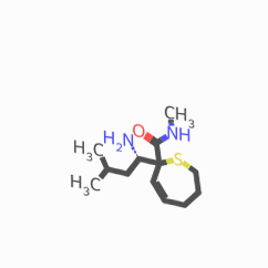 CNC(=O)C1([C@@H](N)CC(C)C)C=CCCCS1